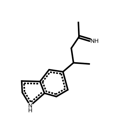 CC(=N)CC(C)c1ccc2[nH]ccc2c1